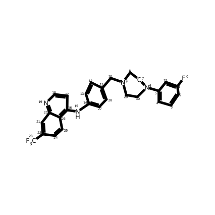 Fc1cccc(N2CCN(Cc3ccc(Nc4ccnc5cc(C(F)(F)F)ccc45)cc3)CC2)c1